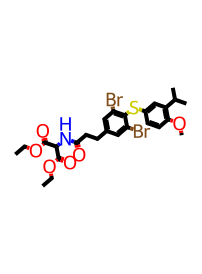 CCOC(=O)C(NC(=O)CCc1cc(Br)c(Sc2ccc(OC)c(C(C)C)c2)c(Br)c1)C(=O)OCC